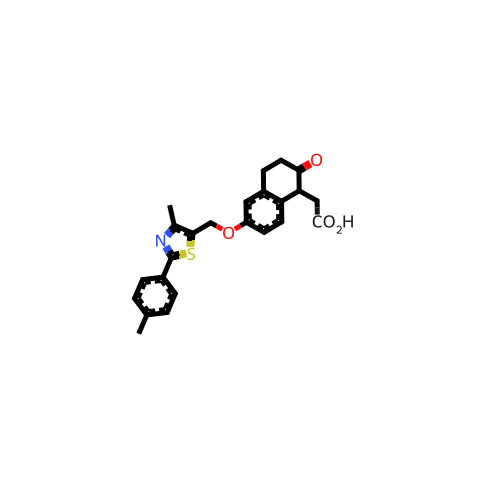 Cc1ccc(-c2nc(C)c(COc3ccc4c(c3)CCC(=O)C4CC(=O)O)s2)cc1